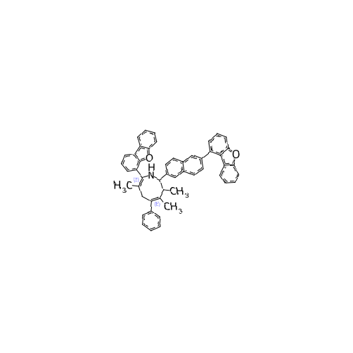 C/C1=C(\c2cccc3c2oc2ccccc23)NC(c2ccc3cc(-c4cccc5oc6ccccc6c45)ccc3c2)C(C)/C(C)=C(/c2ccccc2)C1